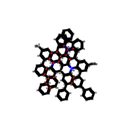 CC(C)(C)c1cc(-c2cccc(-c3ccccc3)c2)c(N2c3ccc(-c4ccccc4)cc3B3c4cc(-c5ccccc5)ccc4N(c4c(-c5cccc(-c6ccccc6)c5)cc(C(C)(C)C)cc4-c4cccc(-c5ccccc5)c4)c4cc(-n5c6ccccc6c6ccccc65)cc2c43)c(-c2cccc(-c3ccccc3)c2)c1